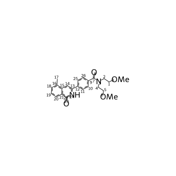 COCCN(CCOC)C(=O)c1ccc(-c2cc3c(C)cccc3c(=O)[nH]2)cc1